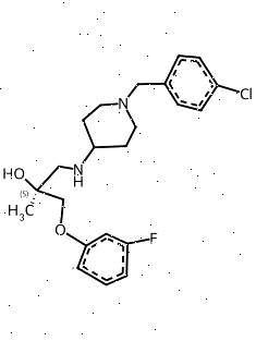 C[C@](O)(CNC1CCN(Cc2ccc(Cl)cc2)CC1)COc1[c]ccc(F)c1